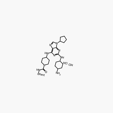 CCCCCNC(=O)N1CCC(Nc2nc(NC3CCC(N)CC3)nc3c2ncn3C2CCCC2)CC1.Cl.Cl